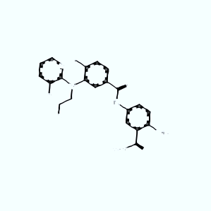 CNC(=O)c1cc(NC(=O)c2ccc(Cl)c(N(CCO)c3ncccc3Cl)c2)ccc1OCC(C)C